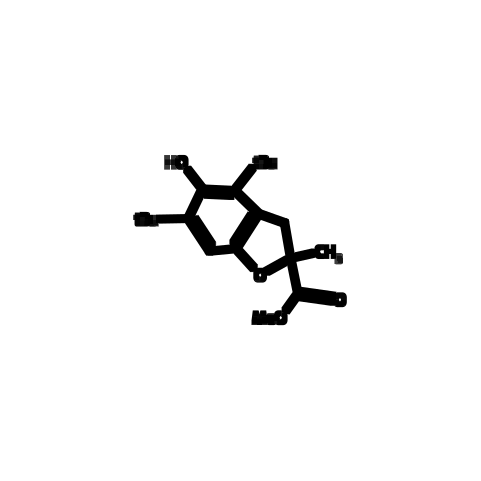 COC(=O)C1(C)Cc2c(cc(C(C)(C)C)c(O)c2C(C)(C)C)O1